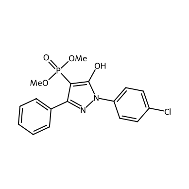 COP(=O)(OC)c1c(-c2ccccc2)nn(-c2ccc(Cl)cc2)c1O